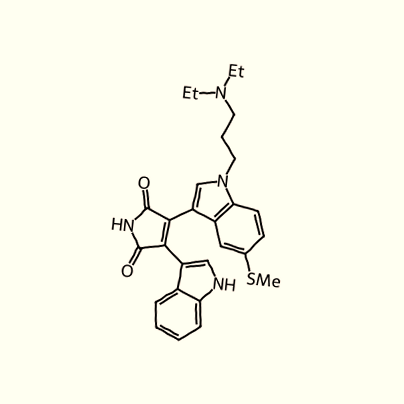 CCN(CC)CCCn1cc(C2=C(c3c[nH]c4ccccc34)C(=O)NC2=O)c2cc(SC)ccc21